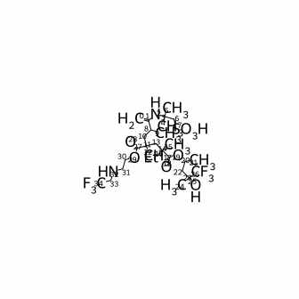 C=C(NC(C)(C)CS(=O)(=O)O)C(C)CC(C)(CC(C)(CC)C(=O)OC(C)CC(C)(O)C(F)(F)F)C(=O)OCCNCC(F)(F)F